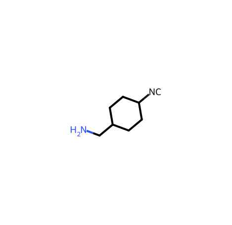 [C-]#[N+]C1CCC(CN)CC1